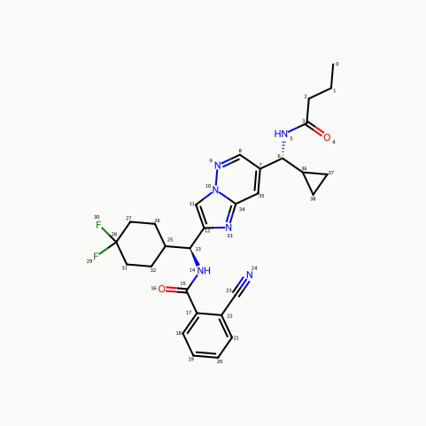 CCCC(=O)N[C@@H](c1cnn2cc([C@@H](NC(=O)c3ccccc3C#N)C3CCC(F)(F)CC3)nc2c1)C1CC1